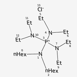 CCCCCCN(CCCCCC)[P+](N(CC)CC)(N(CC)CC)N(CC)CC.[Cl-]